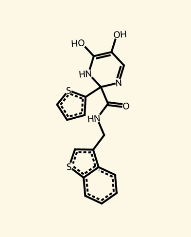 O=C(NCc1csc2ccccc12)C1(c2cccs2)N=CC(O)=C(O)N1